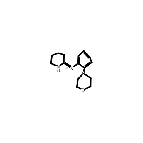 c1ccc(N2CCOCC2)c(/N=C2\CCCCN2)c1